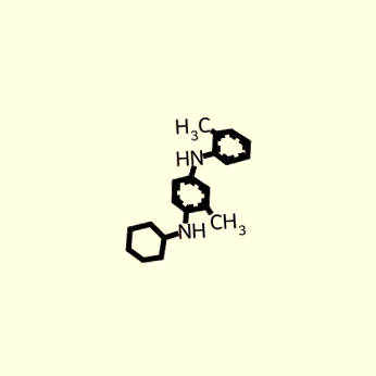 Cc1ccccc1Nc1ccc(NC2CCCCC2)c(C)c1